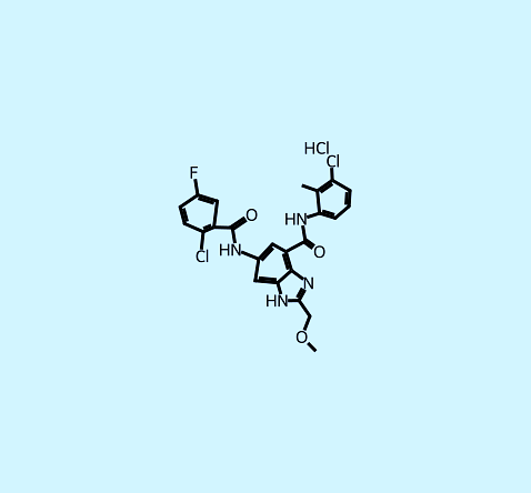 COCc1nc2c(C(=O)Nc3cccc(Cl)c3C)cc(NC(=O)c3cc(F)ccc3Cl)cc2[nH]1.Cl